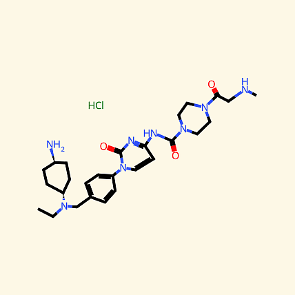 CCN(Cc1ccc(-n2ccc(NC(=O)N3CCN(C(=O)CNC)CC3)nc2=O)cc1)[C@H]1CC[C@H](N)CC1.Cl